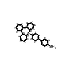 Bc1ccc(C2=CC=C(N3c4ccccc4-c4ccccc4C4C=CC=CC43)CC2)cc1